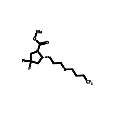 CC(C)(C)OC(=O)N1CC(F)(F)C[C@H]1CCCSCCCC(F)(F)F